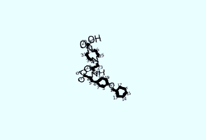 COC(=O)C(Cc1ccc(OCc2ccccc2)cc1)NC(=O)CN1CCN(C(=O)O)CC1